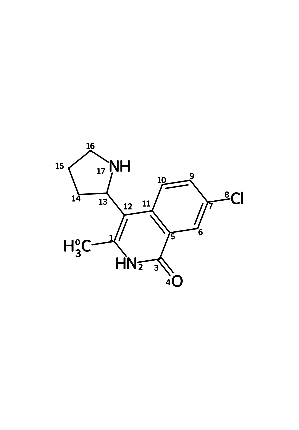 Cc1[nH]c(=O)c2cc(Cl)ccc2c1C1CCCN1